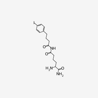 NC(=O)C(N)CCCC(=O)NC(=O)CCCc1ccc(I)cc1